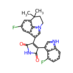 CC1(C)CCn2cc(C3=C(c4c[nH]c5cccc(F)c45)C(=O)NC3=O)c3cc(F)cc1c32